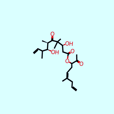 C=CC/C(C)=C\CC(OC(=O)C[C@H](O)C(C)(C)C(=O)[C@H](C)[C@@H](O)C(C)C=C)C(C)=O